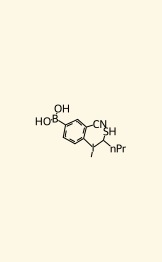 CCCC(S)I(C)c1ccc(B(O)O)cc1C#N